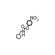 O=C(NCC1CCCC1)Oc1ccc([N+](=O)[O-])cc1